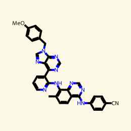 COc1ccc(Cn2cnc3c(-c4cccnc4Nc4c(C)ccc5c(Nc6ccc(C#N)cc6)ncnc45)ncnc32)cc1